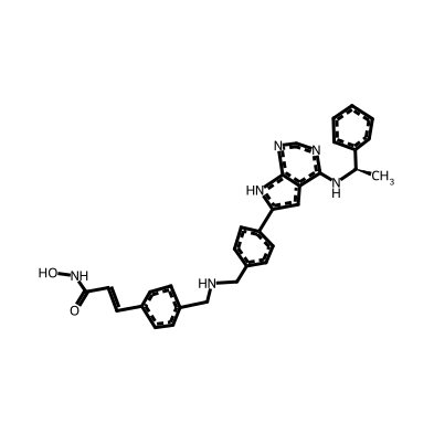 C[C@@H](Nc1ncnc2[nH]c(-c3ccc(CNCc4ccc(C=CC(=O)NO)cc4)cc3)cc12)c1ccccc1